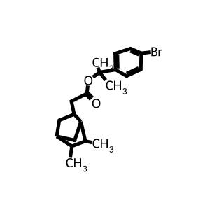 CC1C2CC(CC(=O)OC(C)(C)c3ccc(Br)cc3)C(C2)C1C